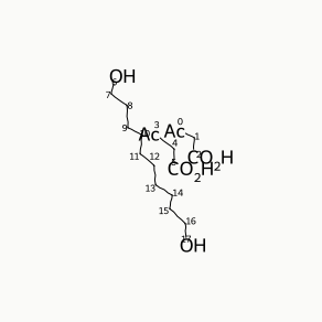 CC(=O)CC(=O)O.CC(=O)CC(=O)O.OCCCCCCCCCCO